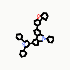 c1ccc(-c2cc(-c3ccc4c(c3)-c3ccc(-c5ccc6oc7ccccc7c6c5)cc3CN(c3ccccc3)C4)cc(-c3ccccc3)n2)cc1